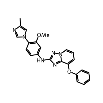 COc1cc(Nc2nc3c(Oc4ccccc4)cccn3n2)ccc1-n1cnc(C)c1